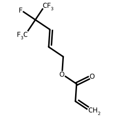 C=CC(=O)OC/C=C/C(F)(C(F)(F)F)C(F)(F)F